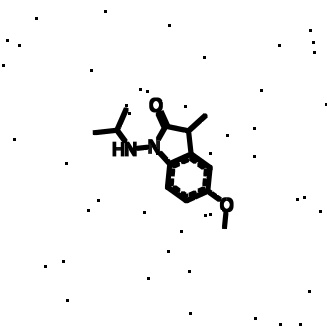 COc1ccc2c(c1)C(C)C(=O)N2NC(C)C